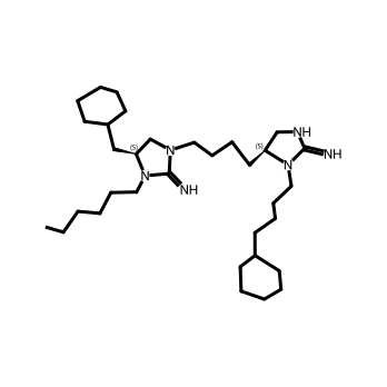 CCCCCCN1C(=N)N(CCCC[C@H]2CNC(=N)N2CCCCC2CCCCC2)C[C@@H]1CC1CCCCC1